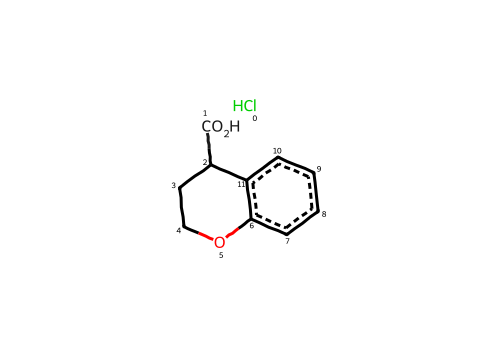 Cl.O=C(O)C1CCOc2ccccc21